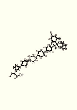 CCC(C(C)O)n1cc(-c2ccc(N3CCN(c4ccc(-c5ccc(C(F)(F)C(O)(Cn6cnnn6)c6ccc(F)cc6F)nc5)cc4)CC3)cc2)nn1